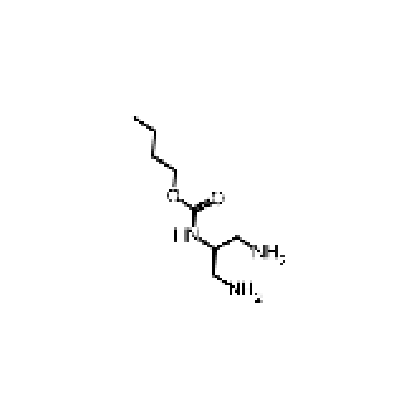 CCCCOC(=O)NC(CN)CN